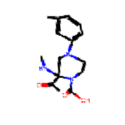 CNC1(C(C)=O)CN(c2cccc(C)c2)CCN1C(=O)O